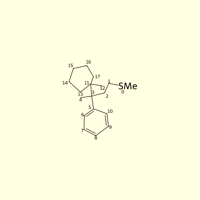 CSCCC(C)(c1ccccc1)C1(C)CCCCC1